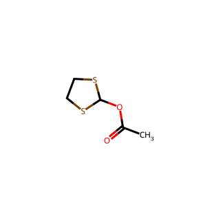 CC(=O)OC1SCCS1